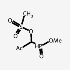 CO[PH](=O)C(OS(C)(=O)=O)C(C)=O